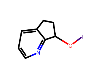 IOC1CCc2cccnc21